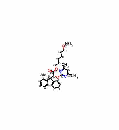 COC(c1ccccc1)(c1ccccc1)[C@H](Oc1nc(C)cc(C)n1)C(=O)OCCCCCCO[N+](=O)[O-]